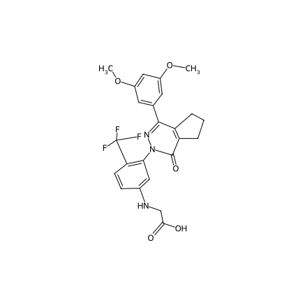 COc1cc(OC)cc(-c2nn(-c3cc(NCC(=O)O)ccc3C(F)(F)F)c(=O)c3c2CCC3)c1